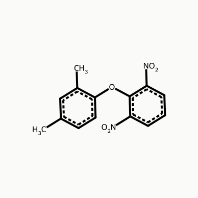 Cc1ccc(Oc2c([N+](=O)[O-])cccc2[N+](=O)[O-])c(C)c1